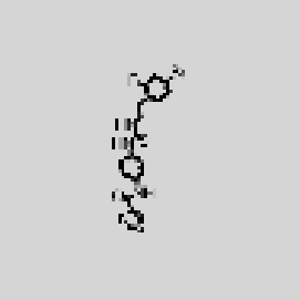 O=C(Nc1ccc(NC(=S)NCCc2ccc(Br)cc2F)cc1)c1cscn1